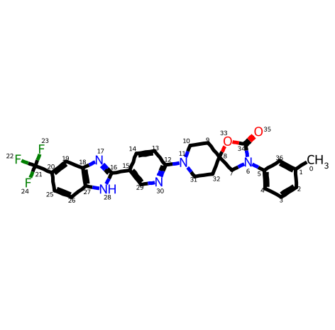 Cc1cccc(N2CC3(CCN(c4ccc(-c5nc6cc(C(F)(F)F)ccc6[nH]5)cn4)CC3)OC2=O)c1